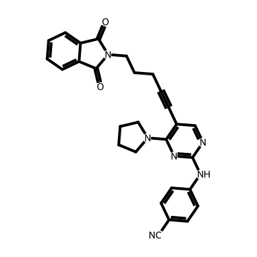 N#Cc1ccc(Nc2ncc(C#CCCCN3C(=O)c4ccccc4C3=O)c(N3CCCC3)n2)cc1